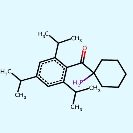 CC(C)c1cc(C(C)C)c(C(=O)C2(P)CCCCC2)c(C(C)C)c1